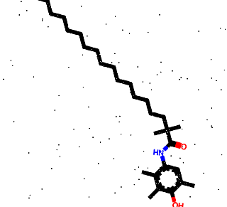 CCCCCCCCCCCCCCCCC(C)(C)C(=O)Nc1cc(C)c(O)c(C)c1C